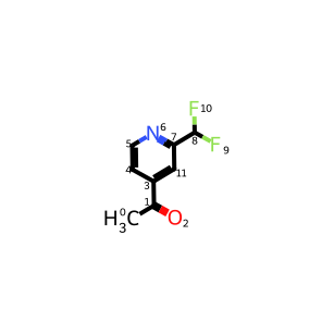 CC(=O)c1ccnc(C(F)F)c1